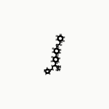 CC(C)NC(CCn1ccnc1)c1ccc(-c2ccc(OCc3ccccc3)cc2)cc1